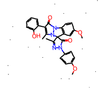 COc1ccc(N2N=C(C)C3(C2=O)c2cc(OC)ccc2-n2c(=O)c(-c4ccccc4O)c(C)n23)cc1